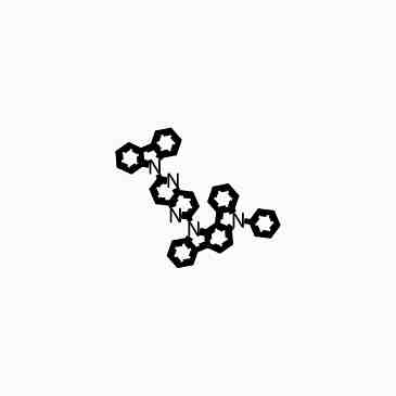 c1ccc(-n2c3ccccc3c3c2ccc2c4ccccc4n(-c4ccc5nc(-n6c7ccccc7c7ccccc76)ccc5n4)c23)cc1